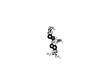 CC[Si]1(CC)Oc2ccc3c(c2O1)C=C[CH]3[Zr+2][CH]1C=Cc2c1ccc1c2O[Si](CC)(CC)O1.C[SiH2]C.[Cl-].[Cl-]